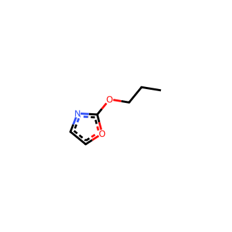 CCCOc1ncco1